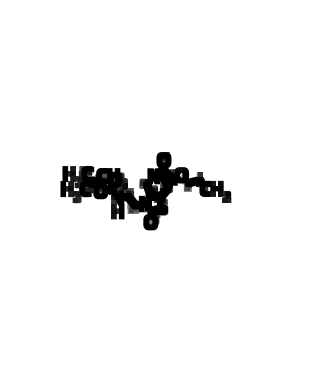 C=CCON1C(=O)N2Cc3c(sc(=O)n3CCNC(=O)OC(C)(C)C)C1C2